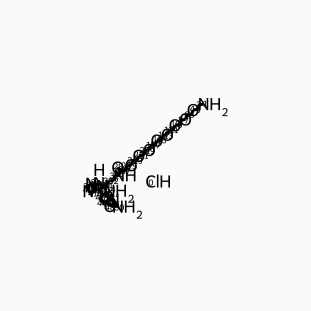 Cl.NCCOCCOCCOCCOCCOCCOCCOCCOCCC(=O)NCCCCN1Nc2ncncc2C1c1ccc2oc(N)nc2c1N